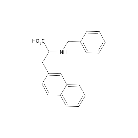 O=C(O)C(Cc1ccc2ccccc2c1)NCc1ccccc1